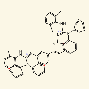 Cc1cccc(C)c1N/C(=N/c1cccc(-c2cccc(/N=C(/Nc3c(C)cccc3C)P(c3ccccc3)c3ccccc3)c2)c1)P(c1ccccc1)c1ccccc1